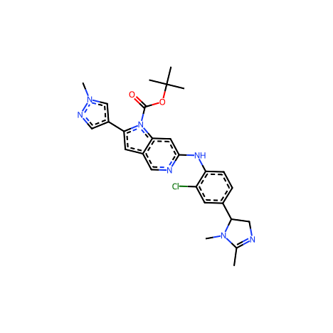 CC1=NCC(c2ccc(Nc3cc4c(cn3)cc(-c3cnn(C)c3)n4C(=O)OC(C)(C)C)c(Cl)c2)N1C